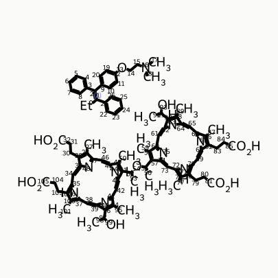 CC/C(=C(\c1ccccc1)c1ccc(OCCN(C)C)cc1)c1ccccc1.CC1=C(CCC(=O)O)c2cc3[nH]c(cc4nc(cc5[nH]c(cc1n2)c(C)c5C(C)OC(C)C1=C(C)c2cc5[nH]c(cc6nc(cc7[nH]c(cc1n2)c(C)c7CCC(=O)O)C(CCC(=O)O)=C6C)c(C)c5C(C)O)C(C)=C4C(C)O)c(C)c3CCC(=O)O